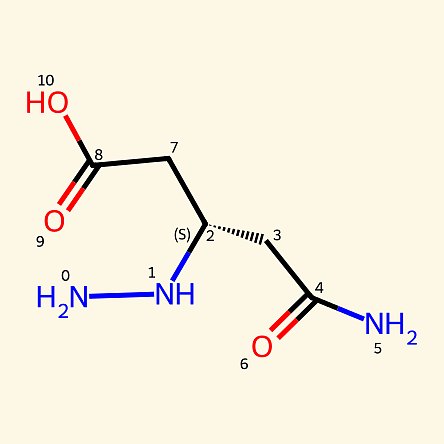 NN[C@@H](CC(N)=O)CC(=O)O